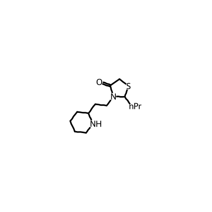 CCCC1SCC(=O)N1CCC1CCCCN1